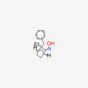 CC[C@@]1(Cc2ccccc2)/C(=N\O)[C@@H]2CC[C@H]1C2